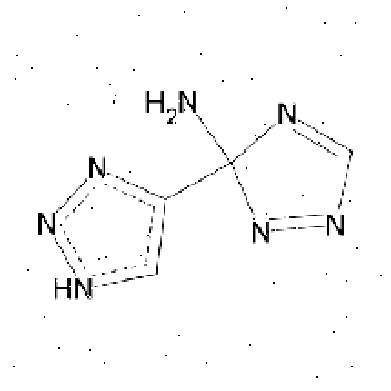 NC1(c2c[nH]nn2)N=CN=N1